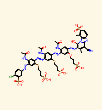 CC(=O)Nc1cc(N=Nc2cc(SCCCS(=O)(=O)O)c(N=Nc3cc(OCCCS(=O)(=O)O)c(N=Nc4c(C)c(C#N)c5nc6ccc(S(=O)(=O)O)c(C)c6n5c4O)cc3NC(C)=O)cc2NC(C)=O)c(SCCCS(=O)(=O)O)cc1N=Nc1ccc(Cl)c(S(=O)(=O)O)c1